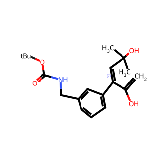 C=C(O)/C(=C\C(C)(C)O)c1cccc(CNC(=O)OC(C)(C)C)c1